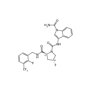 NC(=O)n1cc(NC(=O)N2C[C@H](F)C[C@H]2C(=O)NCc2cccc(C(F)(F)F)c2F)c2ccccc21